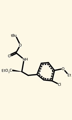 CCOC(=O)[C@H](Cc1ccc(OCC)c(Cl)c1)NC(=O)OC(C)(C)C